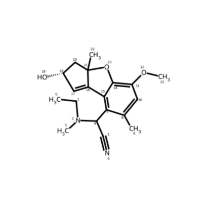 CCN(C)C(C#N)c1c(C)cc(OC)c2c1C1=C[C@H](O)CC1(C)O2